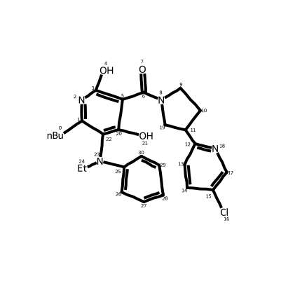 CCCCc1nc(O)c(C(=O)N2CCC(c3ccc(Cl)cn3)C2)c(O)c1N(CC)c1ccccc1